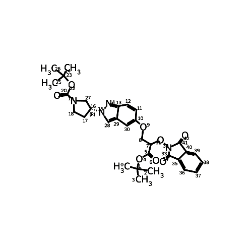 CC(C)(C)OC(=O)C(COc1ccc2nn([C@@H]3CCN(C(=O)OC(C)(C)C)C3)cc2c1)ON1C(=O)c2ccccc2C1=O